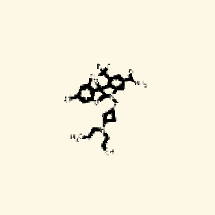 CCCN(CCC)[C@H]1C[C@H](CN2C(=O)C(O)(c3ccc(Cl)cc3Cl)c3c2cc(C(N)=O)cc3C(F)(F)F)C1